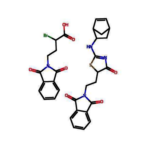 O=C(O)C(Br)CCN1C(=O)c2ccccc2C1=O.O=C1N=C(NC2CC3C=CC2C3)SC1CCN1C(=O)c2ccccc2C1=O